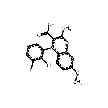 COc1ccc2c(-c3cccc(Cl)c3Cl)c(C(=O)O)c(N)nc2c1